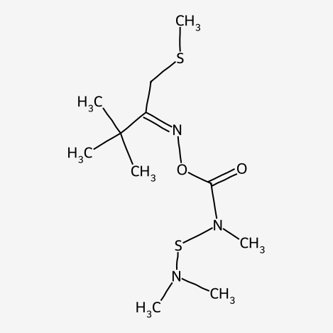 CSCC(=NOC(=O)N(C)SN(C)C)C(C)(C)C